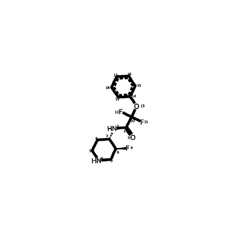 O=C(N[C@H]1CCNC[C@@H]1F)C(F)(F)Oc1ccccc1